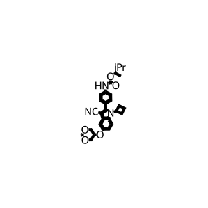 CC(C)[C@@H](C)OC(=O)Nc1ccc(-c2c(C#N)c3cc(OC4COCOC4)ccc3n2C2CCC2)cc1